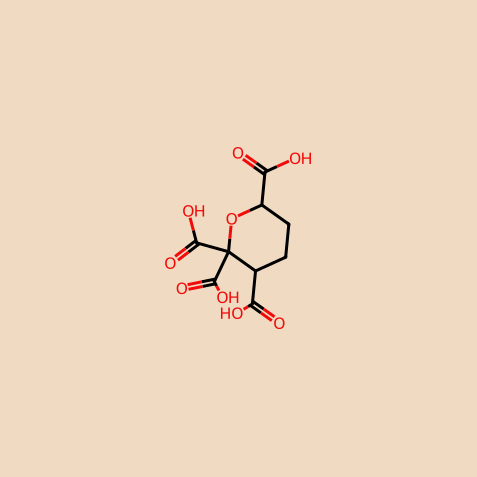 O=C(O)C1CCC(C(=O)O)C(C(=O)O)(C(=O)O)O1